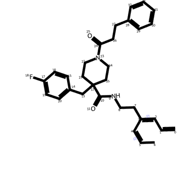 C=C/C=C(\C=C/C)CCNC(=O)C1(Cc2ccc(F)cc2)CCN(C(=O)CCc2ccccc2)CC1